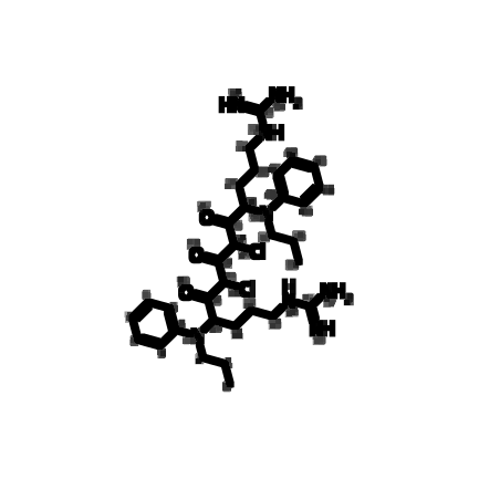 CCCN(c1ccccc1)C(CCCNC(=N)N)C(=O)C(Cl)C(=O)C(Cl)C(=O)C(CCCNC(=N)N)N(CCC)c1ccccc1